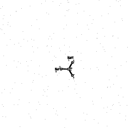 [Na+].[NaH].[O-][Cl+2]([O-])[O-]